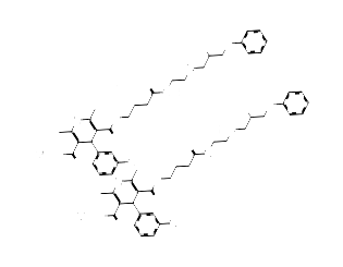 COC(=O)C1=C(C)NC(C)=C(C(=O)OCCCC(=O)NCCNCC(O)COc2ccccc2)C1c1cccc([N+](=O)[O-])c1.COC(=O)C1=C(C)NC(C)=C(C(=O)OCCCC(=O)NCCNCC(O)COc2ccccc2)C1c1cccc([N+](=O)[O-])c1.O